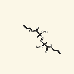 C=CCNC(=O)C(C)(N=NC(C)(OC)C(=O)NCC=C)OC